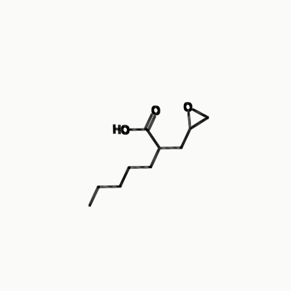 CCCCCC(CC1CO1)C(=O)O